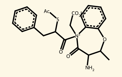 CC(=O)SC(Cc1ccccc1)C(=O)[N+]1(CC(=O)O)C(=O)C(N)C(C)Oc2ccccc21